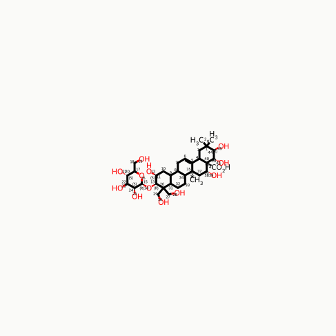 CC1(C)CC2C3=CCC4C5C[C@H](O)[C@H](O[C@@H]6OC(CO)[C@@H](O)C(O)[C@@H]6O)C(CO)(CO)C5CCC4[C@]3(C)C[C@@H](O)[C@@]2(C(=O)O)[C@@H](O)[C@@H]1O